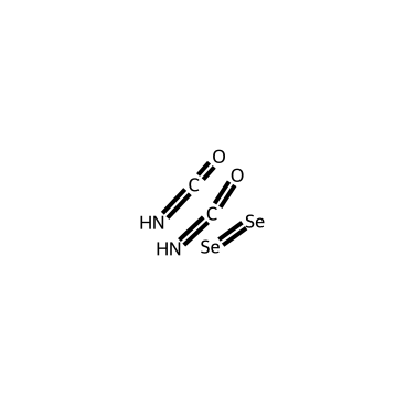 N=C=O.N=C=O.[Se]=[Se]